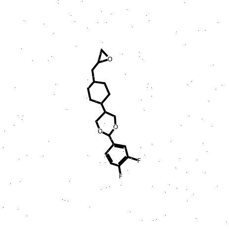 Fc1ccc(C2OCC(C3CCC(CC4CO4)CC3)CO2)cc1F